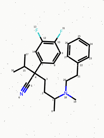 CC(CCC(C#N)(c1ccc(F)c(F)c1)C(C)C)N(C)CCc1ccccc1